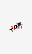 C=C(C)C(=O)OC1CCC(OC(=O)C(C)(C)CC)C(O)C1